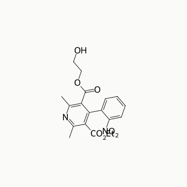 CCOC(=O)c1c(C)nc(C)c(C(=O)OCCO)c1-c1ccccc1[N+](=O)[O-]